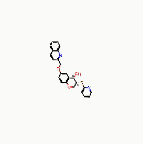 O[C@@H]1c2cc(OCc3ccc4ccccc4n3)ccc2OC[C@H]1Sc1ccccn1